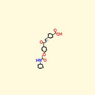 O=C(COc1ccc(C(=O)/C=C/c2ccc(C(=O)O)cc2)cc1)Nc1ccccc1